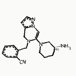 N#Cc1ccccc1CN1Cc2ccnn2C=C1N1CCC[C@@H](N)C1